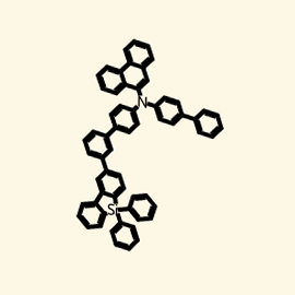 c1ccc(-c2ccc(N(c3ccc(-c4cccc(-c5ccc6c(c5)-c5ccccc5[Si]6(c5ccccc5)c5ccccc5)c4)cc3)c3cc4ccccc4c4ccccc34)cc2)cc1